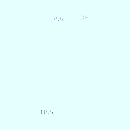 CNCCCCC(CO)COC